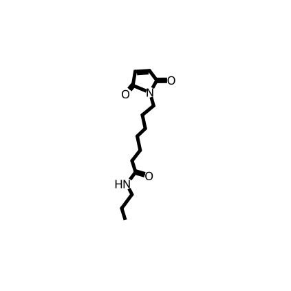 CCCNC(=O)CCCCCCN1C(=O)C=CC1=O